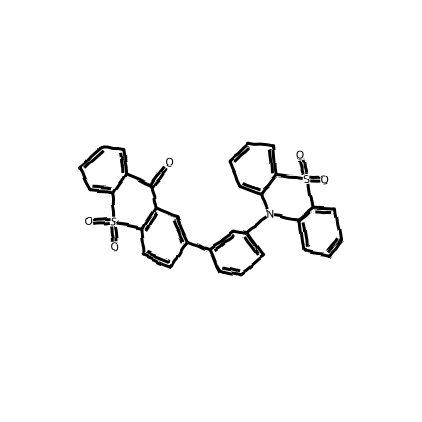 O=C1c2ccccc2S(=O)(=O)c2ccc(-c3cccc(N4c5ccccc5S(=O)(=O)c5ccccc54)c3)cc21